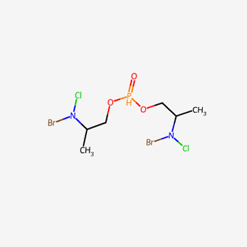 CC(CO[PH](=O)OCC(C)N(Cl)Br)N(Cl)Br